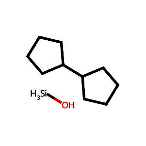 C1CCC(C2CCCC2)C1.O[SiH3]